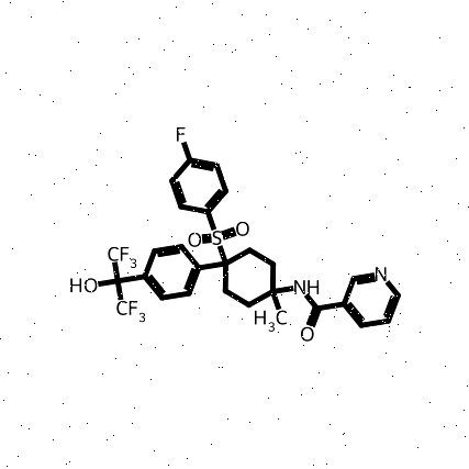 CC1(NC(=O)c2cccnc2)CCC(c2ccc(C(O)(C(F)(F)F)C(F)(F)F)cc2)(S(=O)(=O)c2ccc(F)cc2)CC1